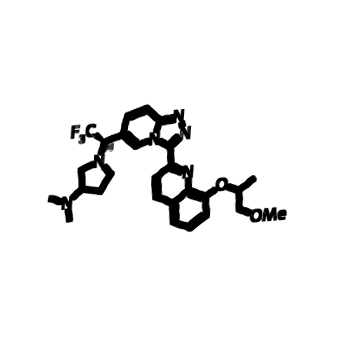 COCC(C)Oc1cccc2ccc(-c3nnc4ccc([C@@H](N5CCC(N(C)C)C5)C(F)(F)F)cn34)nc12